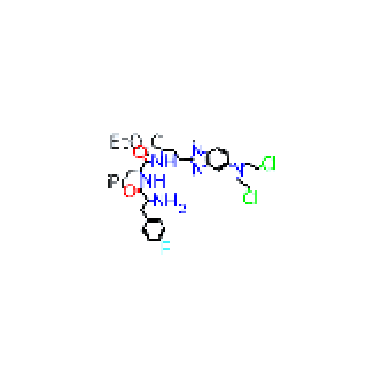 CCOC(=O)[C@H](CCc1nc2cc(N(CCCl)CCCl)ccc2n1C)NC(=O)[C@H](CC(C)C)NC(=O)[C@@H](N)Cc1ccc(F)cc1